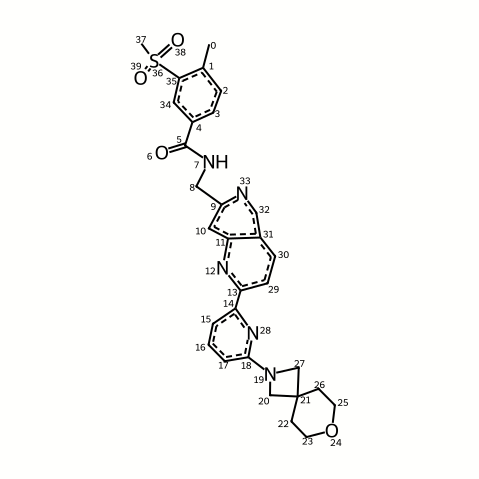 Cc1ccc(C(=O)NCc2cc3nc(-c4cccc(N5CC6(CCOCC6)C5)n4)ccc3cn2)cc1S(C)(=O)=O